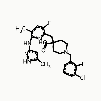 Cc1cc(Nc2nc(CC3(C(=O)O)CCN(Cc4cccc(Cl)c4F)CC3)c(F)cc2C)n[nH]1